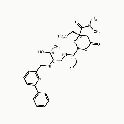 CC(C)C[C@H](NC[C@H](NCc1cccc(-c2ccccc2)n1)[C@@H](C)O)B1OC(=O)C[C@@](CC(=O)O)(C(=O)N(C)C)O1